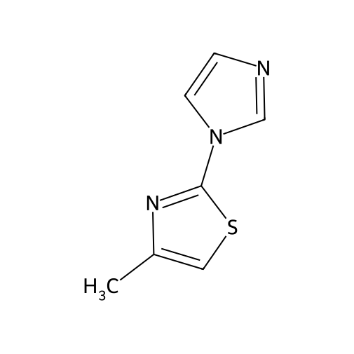 Cc1csc(-n2ccnc2)n1